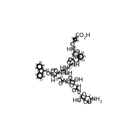 NC(=O)C[C@@H]1O[C@H](CNC(=O)C[C@@H]2O[C@H](CNC(=O)CC[C@H](NC(=O)OCC3c4ccccc4-c4ccccc43)C(=O)NCC(=O)NCC(=O)N[C@@H](Cc3ccccc3)C(=O)NCC(=O)NCOC34CC(C(=O)O)(C3)C4)[C@@H](O)[C@H]2O)[C@@H](O)[C@H]1O